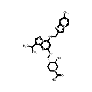 Cc1ccn2cc(CNc3cc(NC[C@H]4CCN(C(=O)O)C[C@@H]4O)nc4c(C(C)C)cnn34)nc2c1